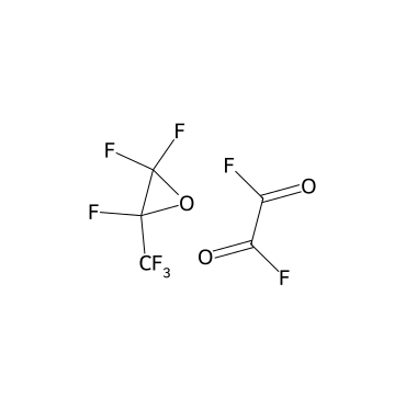 FC(F)(F)C1(F)OC1(F)F.O=C(F)C(=O)F